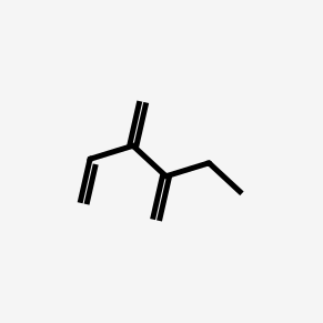 C=CC(=C)C(=C)CC